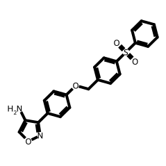 Nc1conc1-c1ccc(OCc2ccc(S(=O)(=O)c3ccccc3)cc2)cc1